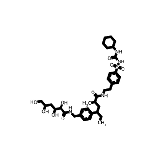 CCC(CC(C)C(=O)NCCc1ccc(S(=O)(=O)NC(=O)NC2CCCCC2)cc1)c1ccc(CNC(=O)C(O)C(O)CC(O)CO)cc1